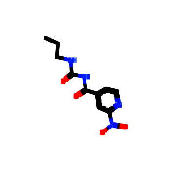 CCCNC(=O)NC(=O)c1ccnc([N+](=O)[O-])c1